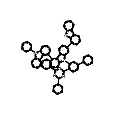 c1ccc(-c2ccc(-c3nc(-c4ccccc4)nc(-c4ccccc4)n3)c(-n3c4cc(-c5cccc6c5oc5ccccc56)ccc4c4c(-c5cccc6c5c5ccccc5n6-c5ccccc5)cccc43)c2)cc1